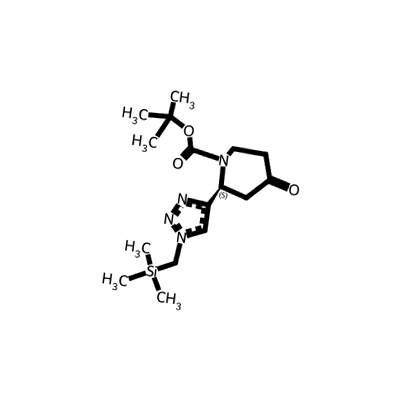 CC(C)(C)OC(=O)N1CCC(=O)C[C@H]1c1cn(C[Si](C)(C)C)nn1